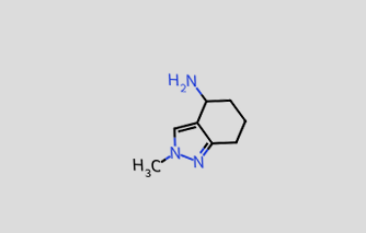 Cn1cc2c(n1)CCCC2N